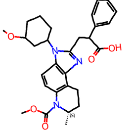 COC(=O)N1c2ccc3c(nc(CC(C(=O)O)c4ccccc4)n3C3CCCC(OC)C3)c2CC[C@@H]1C